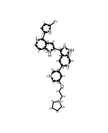 Fc1ccc(-c2nccc3[nH]c(-c4n[nH]c5cnc(-c6cncc(OCCN7CCCC7)c6)cc45)cc23)s1